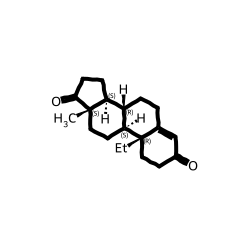 CC[C@]12CCC(=O)C=C1CC[C@@H]1[C@@H]2CC[C@]2(C)C(=O)CC[C@@H]12